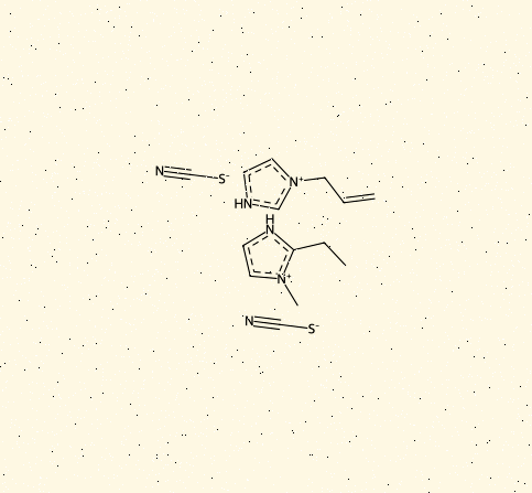 C=CC[n+]1cc[nH]c1.CCc1[nH]cc[n+]1C.N#C[S-].N#C[S-]